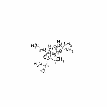 C=C/C(=C\C=C(/N)Cl)C(C)(NC(=O)OC(C)(C)C)C(=O)OCC